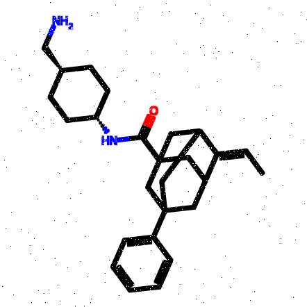 CC=C1C2CC3(C(=O)N[C@H]4CC[C@H](CN)CC4)CC1CC(c1ccccc1)(C2)C3